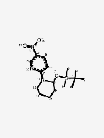 CC(C)(C)[Si](C)(C)OC1CCCCN1c1ccc([N+](=O)[O-])cn1